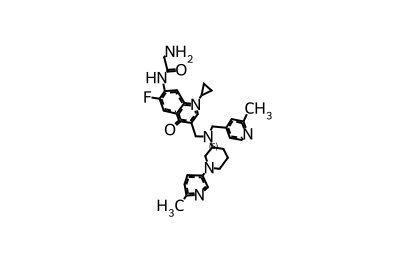 Cc1ccc(N2CCC[C@H](N(Cc3ccnc(C)c3)Cc3cn(C4CC4)c4cc(NC(=O)CN)c(F)cc4c3=O)C2)cn1